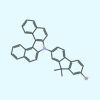 CC1(C)c2cc(Br)ccc2-c2ccc(-n3c4ccc5ccccc5c4c4c5ccccc5ccc43)cc21